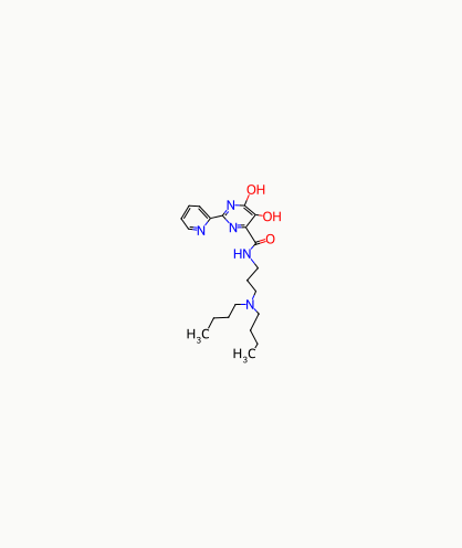 CCCCN(CCCC)CCCNC(=O)c1nc(-c2ccccn2)nc(O)c1O